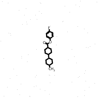 CC1CCC(C2CCC(C(=O)Oc3ccc(F)cc3)CC2)CC1